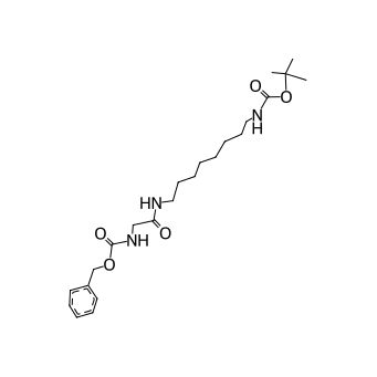 CC(C)(C)OC(=O)NCCCCCCCCNC(=O)CNC(=O)OCc1ccccc1